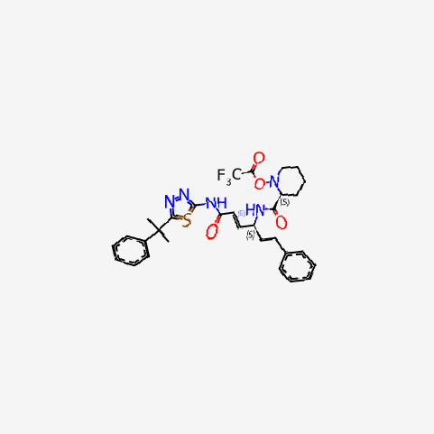 CC(C)(c1ccccc1)c1nnc(NC(=O)/C=C/[C@H](CCc2ccccc2)NC(=O)[C@@H]2CCCCN2OC(=O)C(F)(F)F)s1